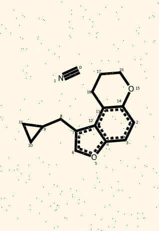 C#N.c1cc2occ(CC3CC3)c2c2c1OCCC2